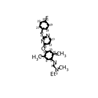 CCN(C)C=Nc1cc(C)c(Oc2ccnc(Sc3ccc(F)cc3)n2)cc1C